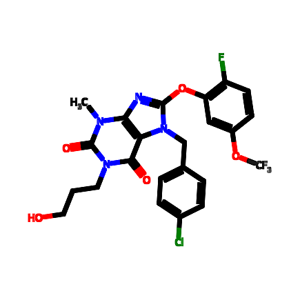 Cn1c(=O)n(CCCO)c(=O)c2c1nc(Oc1cc(OC(F)(F)F)ccc1F)n2Cc1ccc(Cl)cc1